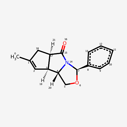 CC1=C[C@@H]2[C@H]3CO[C@H](c4ccccc4)N3C(=O)[C@@H]2C1